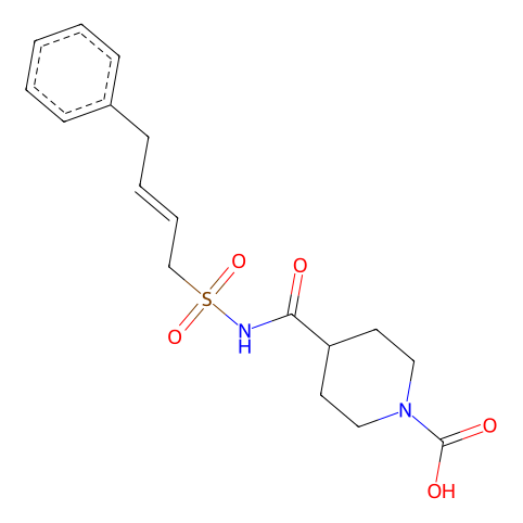 O=C(NS(=O)(=O)CC=CCc1ccccc1)C1CCN(C(=O)O)CC1